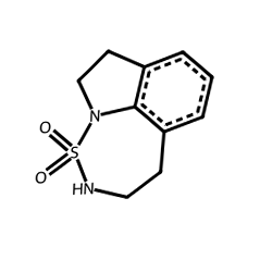 O=S1(=O)NCCc2cccc3c2N1CC3